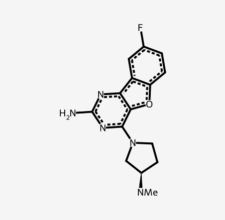 CN[C@@H]1CCN(c2nc(N)nc3c2oc2ccc(F)cc23)C1